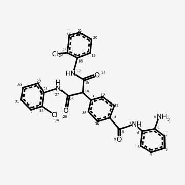 Nc1ccccc1NC(=O)c1ccc(C(C(=O)Nc2ccccc2Cl)C(=O)Nc2ccccc2Cl)cc1